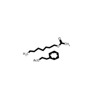 CC(=O)OCCc1ccccc1.CCCCCCCCOC(C)=O